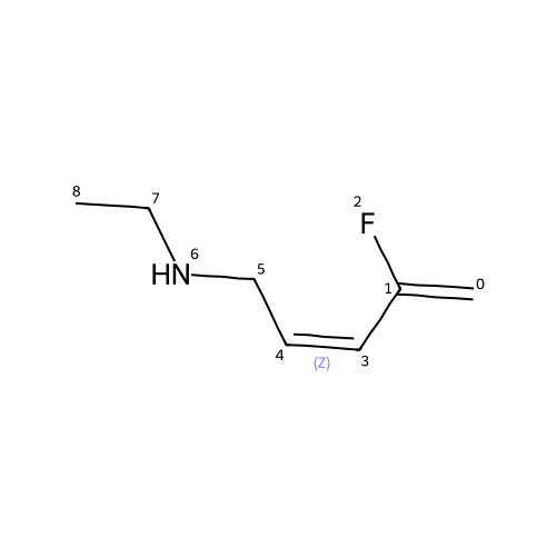 C=C(F)/C=C\CNCC